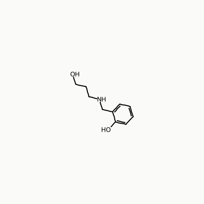 OCCCNCc1ccccc1O